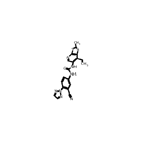 CCc1c(NC(=O)Nc2ccc(-n3nccn3)c(C#N)c2)cnc2sc(C)nc12